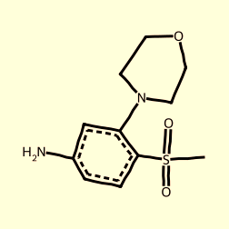 CS(=O)(=O)c1ccc(N)cc1N1CCOCC1